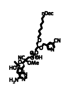 CCCCCCCCCCCCCCCCCCOC[C@H](COP(=O)(O)OC[C@@](C#N)(OC)[C@H](Cc1ccc2c(N)ncnn12)OC(C)(C)O)OCc1cncc(C#N)c1